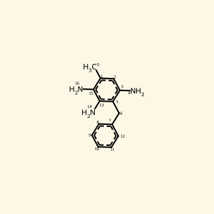 Cc1cc(N)c(Cc2ccccc2)c(N)c1N